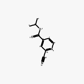 CC(C)OC(=O)c1ccnc(C#N)c1